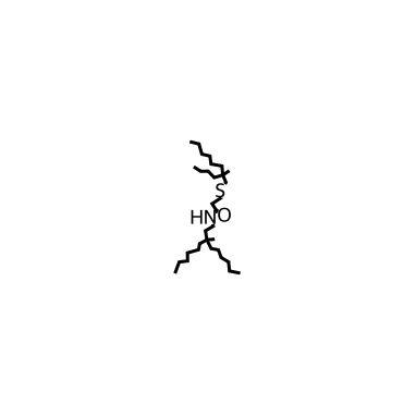 CCCCCCC(C)(CCCCCC)CCNC(=O)CCSCC(C)(CCCC)CCCCCC